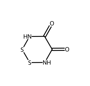 O=C1NSSNC1=O